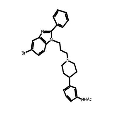 CC(=O)Nc1cccc(C2CCN(CCCn3c(-c4ccccc4)nc4cc(Br)ccc43)CC2)c1